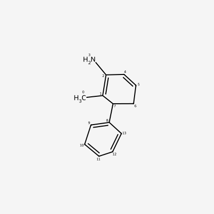 CC1=C(N)C=CCC1c1ccccc1